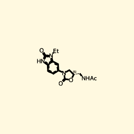 CCn1c(=O)[nH]c2ccc(N3C[C@H](CNC(C)=O)OC3=O)cc21